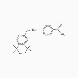 CC1(C)CCC(C)(C)c2cc(CC#Cc3ccc(C(N)=O)cc3)ccc21